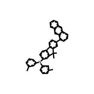 Cc1cccc(N(c2cccc(C)c2)c2ccc3c(c2)C(C)(C)c2cc(-c4cccc5cc6ccccc6cc45)ccc2-3)c1